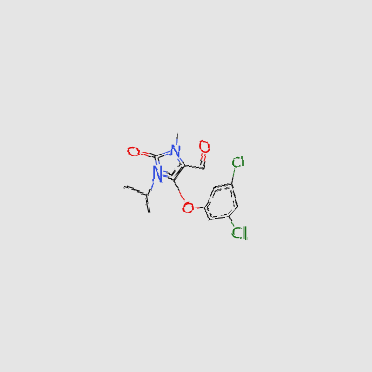 CC(C)n1c(Oc2cc(Cl)cc(Cl)c2)c(C=O)n(C)c1=O